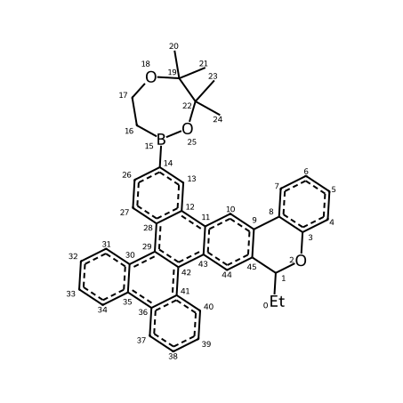 CCC1Oc2ccccc2-c2cc3c4cc(B5CCOC(C)(C)C(C)(C)O5)ccc4c4c5ccccc5c5ccccc5c4c3cc21